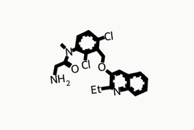 CCc1nc2ccccc2cc1OCc1c(Cl)ccc(N(C)C(=O)CN)c1Cl